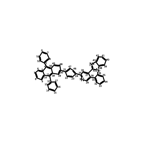 c1ccc(-c2c3ccccc3c(-c3ccccc3)c3cc(-c4ccc(-c5cc6c(cn5)c5ccccc5n5c7ccccc7nc65)cc4)ccc23)cc1